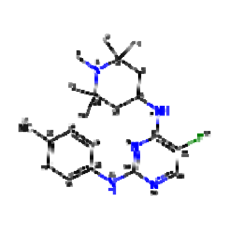 CN1C(C)(C)CC(Nc2nc(Nc3ccc(C#N)cc3)ncc2F)CC1(C)C